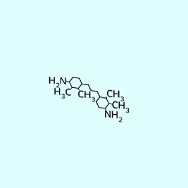 CC1C(N)CCC(CCCC2CCC(N)C(C)C2C)C1C